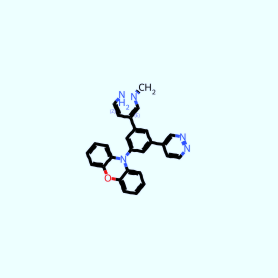 C=N/C=C(\C=C/N)c1cc(-c2ccnnc2)cc(N2c3ccccc3Oc3ccccc32)c1